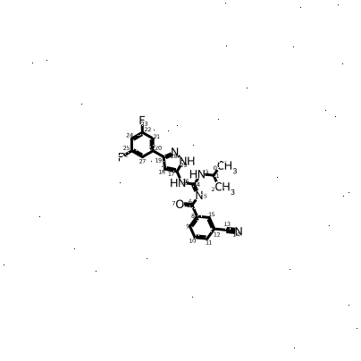 CC(C)N/C(=N/C(=O)c1cccc(C#N)c1)Nc1cc(-c2cc(F)cc(F)c2)n[nH]1